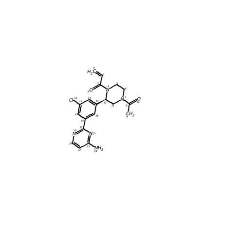 C=CC(=O)N1CCN(C(C)=O)C[C@H]1c1cc(Cl)cc(-c2nccc(N)n2)c1